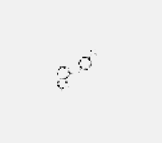 CS(=O)(=O)c1ccc(Nc2nccn3cc(Br)nc23)c(F)c1